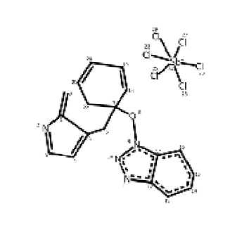 C=C1N=CC=C1CC1(On2nnc3ccccc32)C=CC=CC1.[Cl][Sb-]([Cl])([Cl])([Cl])([Cl])[Cl]